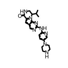 CC(C)C1CNC(=O)c2cc3cnc(Nc4ccc(N5CCNCC5)cn4)nc3n21